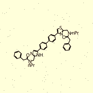 CCCN(Cc1ncc(-c2ccc(-c3ccc(-c4csc(CN(CCC)C(=O)Cc5ccccc5)n4)cc3)cc2)[nH]1)C(=O)Cc1ccccc1